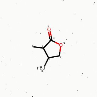 CCCCC1COC(=O)C1C